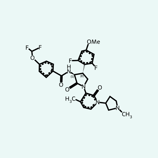 COc1cc(F)c([C@@H]2CN(c3c(C)ccn(C4CCN(C)C4)c3=O)C(=O)[C@H]2NC(=O)c2ccc(OC(F)F)cc2)c(F)c1